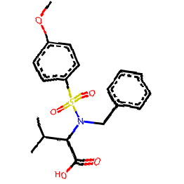 COc1ccc(S(=O)(=O)N(Cc2ccccc2)C(C(=O)O)C(C)C)cc1